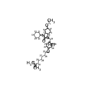 CCOc1ccc2c(c1)n(C1CCCCC1)c(=O)n2Cc1ccc(OCCCCCCN(C)C)cc1.Cl